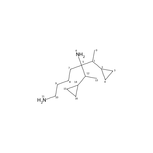 CC(C1CC1)C(N)(CCCCN)C(C)C1CC1